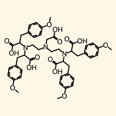 COc1ccc(CC(C(=O)O)N(CCN(CCN(C(Cc2ccc(OC)cc2)C(=O)O)C(Cc2ccc(OC)cc2)C(=O)O)CC(=O)O)C(Cc2ccc(OC)cc2)C(=O)O)cc1